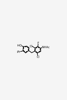 CC(=O)Nc1cc(Cl)c(Cc2ccc(O)c(C(C)C)c2)c(Cl)c1F